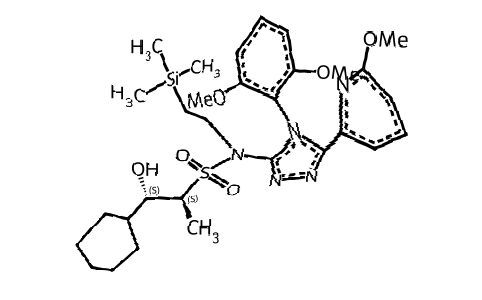 COc1cccc(-c2nnc(N(CC[Si](C)(C)C)S(=O)(=O)[C@@H](C)[C@@H](O)C3CCCCC3)n2-c2c(OC)cccc2OC)n1